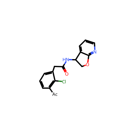 CC(=O)c1cccc(CC(=O)NC2COc3ncccc32)c1Cl